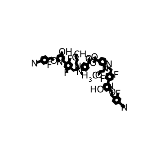 COCCn1c(Cc2cc(F)c(-c3cc(O)cc(OCc4ccc(C#N)cc4F)n3)cc2F)nc2ccc(C(=O)OC(=O)c3ccc4nc(Cc5cc(F)c(-c6cc(O)cc(OCc7ccc(C#N)cc7F)n6)cc5F)n(CCOC)c4c3)cc21